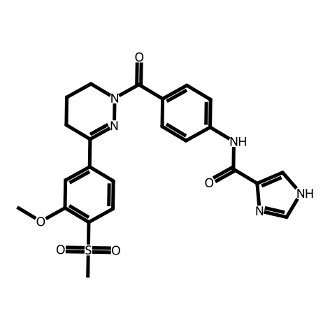 COc1cc(C2=NN(C(=O)c3ccc(NC(=O)c4c[nH]cn4)cc3)CCC2)ccc1S(C)(=O)=O